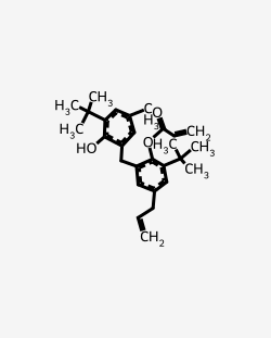 C=CCc1cc(Cc2cc(C)cc(C(C)(C)C)c2O)c(OC(=O)C=C)c(C(C)(C)C)c1